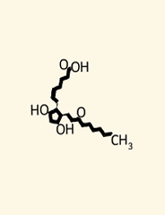 CCCCCCCC(=O)CC[C@@H]1[C@@H](C/C=C\CCCC(=O)O)[C@@H](O)C[C@H]1O